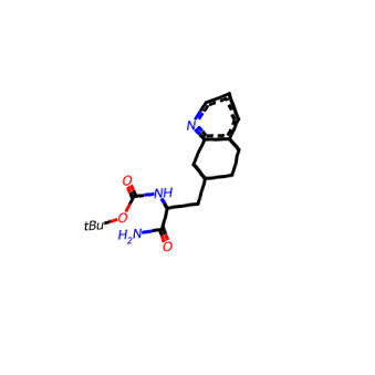 CC(C)(C)OC(=O)NC(CC1CCc2cccnc2C1)C(N)=O